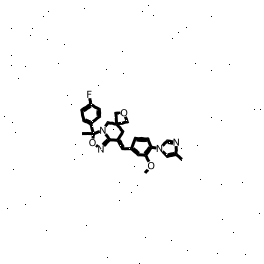 COc1cc(/C=C2\CC3(COC3)CN3C2=NOC3(C)c2ccc(F)cc2)ccc1-n1cnc(C)c1